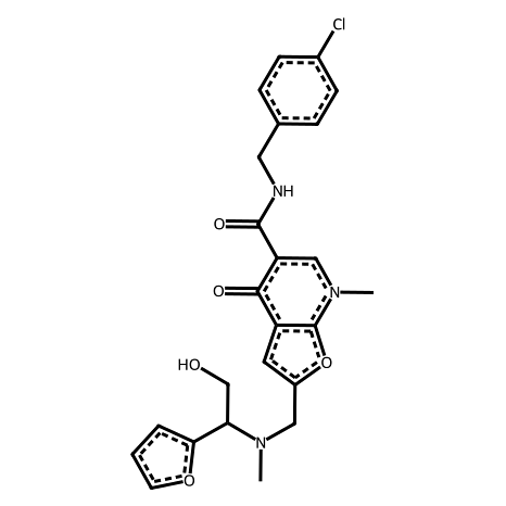 CN(Cc1cc2c(=O)c(C(=O)NCc3ccc(Cl)cc3)cn(C)c2o1)C(CO)c1ccco1